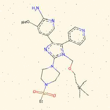 CCS(=O)(=O)N1CCN(c2nc(-c3cnc(N)c(OC)c3)c(-c3ccncc3)n2COCC[Si](C)(C)C)CC1